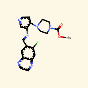 CC(C)(C)OC(=O)N1CCN(c2ccncc2/N=C/c2cc3nccnc3cc2Cl)CC1